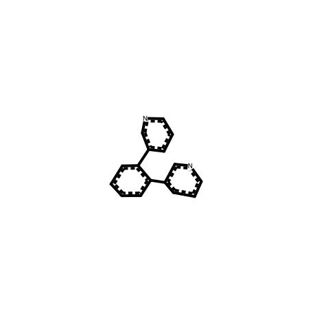 [c]1ccc(-c2cccnc2)c(-c2cccnc2)c1